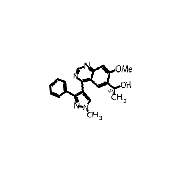 COc1cc2ncnc(-c3cn(C)nc3-c3ccccc3)c2cc1[C@H](C)O